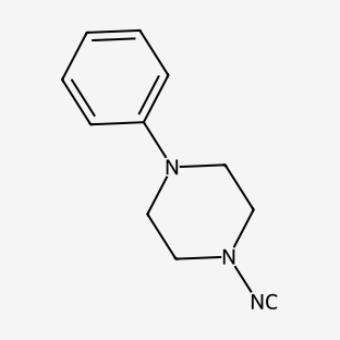 [C-]#[N+]N1CCN(c2ccccc2)CC1